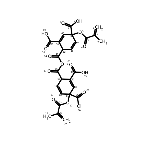 C=C(C)C(=O)OC1(C(=O)O)C=CC(C(=O)OC(=O)C2C=CC(OC(=O)C(=C)C)(C(=O)O)C=C2C(=O)O)C(C(=O)O)=C1